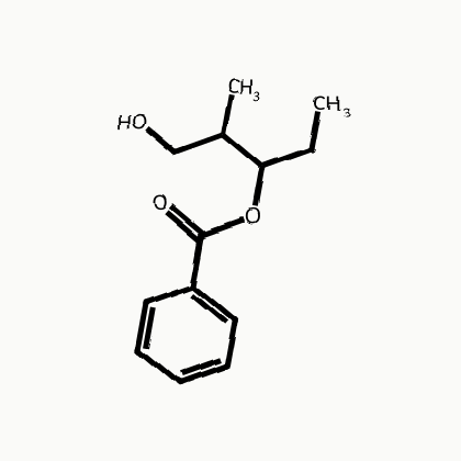 CCC(OC(=O)c1ccccc1)C(C)CO